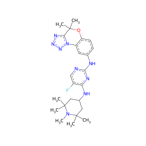 CN1C(C)(C)CC(Nc2nc(Nc3ccc4c(c3)-n3nnnc3C(C)(C)O4)ncc2F)CC1(C)C